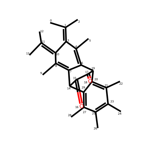 CC(C)=c1c(C)c2c(c(C)c1=C(C)C)C1C(=O)C(=O)C2c2c(C)c(C)c(C)c(C)c21